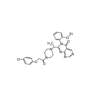 CCOc1ccccc1-n1c(C(C)N2CCN(C(=O)COc3ccc(Cl)cc3)CC2)nc2ncncc2c1=O